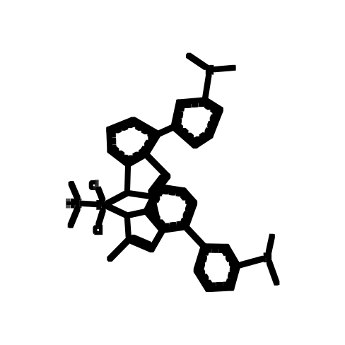 CC1=Cc2c(-c3cccc(N(C)C)c3)cccc2[CH]1[Zr]([Cl])([Cl])([CH]1C(C)=Cc2c(-c3cccc(N(C)C)c3)cccc21)[SiH](C)C